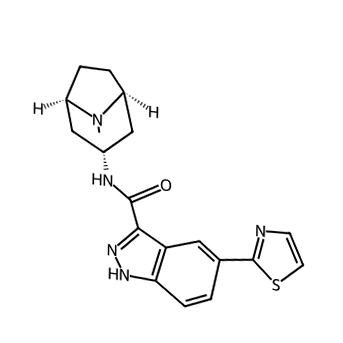 CN1[C@@H]2CC[C@H]1C[C@H](NC(=O)c1n[nH]c3ccc(-c4nccs4)cc13)C2